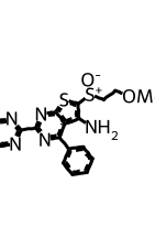 COCC[S+]([O-])c1sc2nc(-c3ncccn3)nc(-c3ccccc3)c2c1N